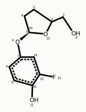 OCC1CC[C@H](Oc2ccc(O)c(F)c2)O1